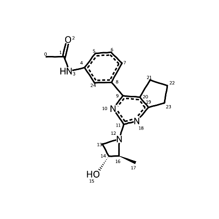 CC(=O)Nc1cccc(-c2nc(N3C[C@@H](O)[C@@H]3C)nc3c2CCC3)c1